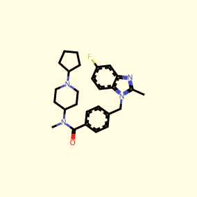 Cc1nc2cc(F)ccc2n1Cc1ccc(C(=O)N(C)C2CCN(C3CCCC3)CC2)cc1